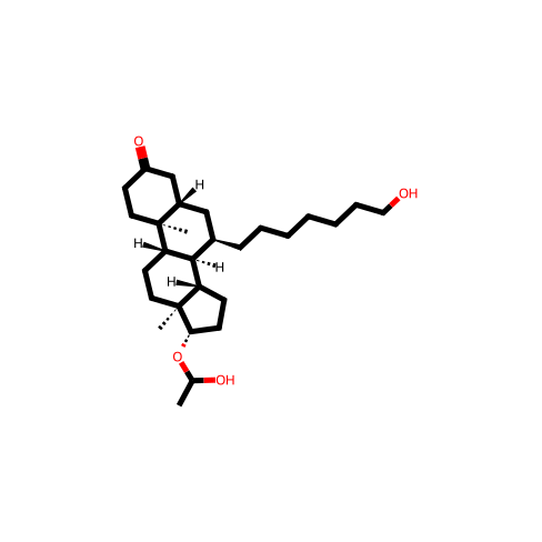 CC(O)O[C@H]1CC[C@H]2[C@@H]3[C@H](CCCCCCCO)C[C@H]4CC(=O)CC[C@]4(C)[C@H]3CC[C@]12C